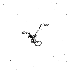 CCCCC/C=C\C/C=C\C/C=C\CCCCC(=O)O[C@H](COC(=O)CCCCCCCCCCCCC)COC(=O)CCCCCCCCCCCCCCCCCCCCC